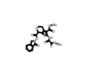 CC(C)(C)OC(=O)C(=O)Nc1sc2c(c1C(=O)OC(C)(C)C)CCOC2C(=O)ON1Cc2ccccc2C1=O